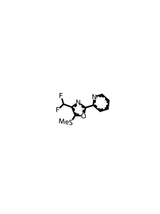 CSc1oc(-c2ccccn2)nc1C(F)F